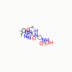 Cc1ccc(OCC2CC2)c(-c2ncnc3c(C(=O)N[C@H]4CC[C@@H](NC(=O)[C@H](C)O)C[C@H]4C)c(C)[nH]c23)c1F